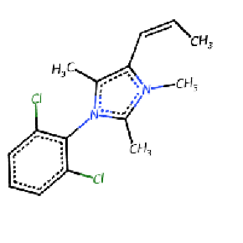 C/C=C\c1c(C)[n+](-c2c(Cl)cccc2Cl)c(C)n1C